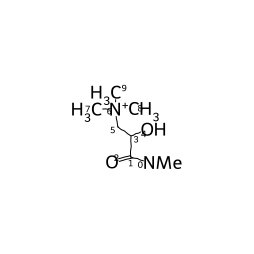 CNC(=O)C(O)C[N+](C)(C)C